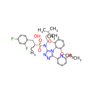 COc1cccc(-c2nnc(N(CCS(C)(C)C)S(=O)(=O)[C@@H](C)[C@@H](O)c3ccc(F)cc3F)n2-c2c(OC)cccc2OC)n1